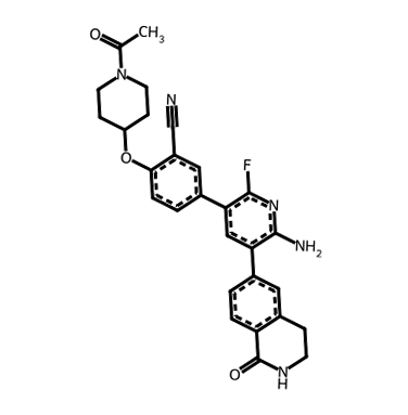 CC(=O)N1CCC(Oc2ccc(-c3cc(-c4ccc5c(c4)CCNC5=O)c(N)nc3F)cc2C#N)CC1